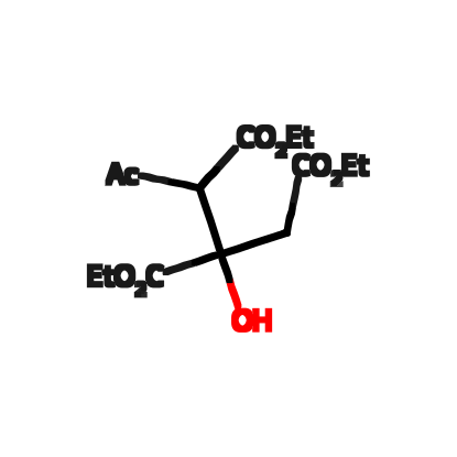 CCOC(=O)CC(O)(C(=O)OCC)C(C(C)=O)C(=O)OCC